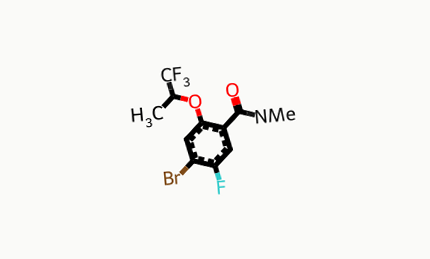 CNC(=O)c1cc(F)c(Br)cc1OC(C)C(F)(F)F